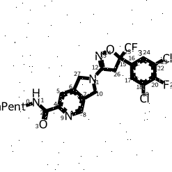 CCCCCNC(=O)c1cc2c(cn1)CN(C1=NOC(c3cc(Cl)c(F)c(Cl)c3)(C(F)(F)F)C1)C2